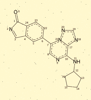 O=C1N=Cc2cc(-c3cnc(NC4CCCC4)c4ncnn34)ccc21